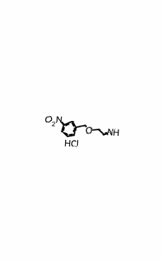 Cl.N=CCOCc1cccc([N+](=O)[O-])c1